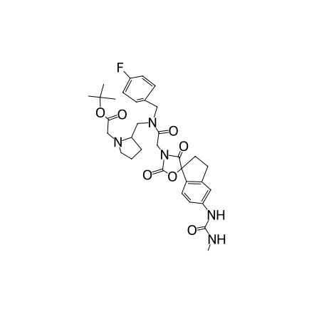 CNC(=O)Nc1ccc2c(c1)CCC21OC(=O)N(CC(=O)N(Cc2ccc(F)cc2)CC2CCCN2CC(=O)OC(C)(C)C)C1=O